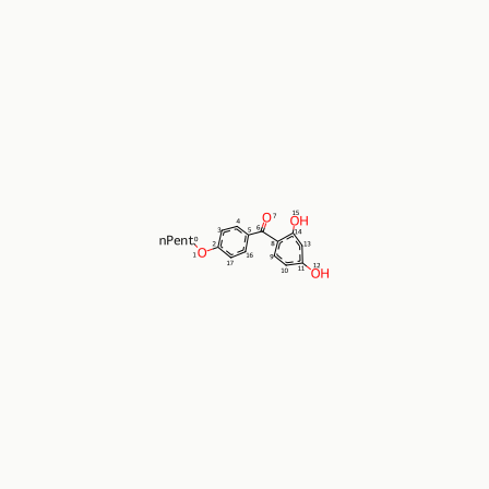 CCCCCOc1ccc(C(=O)c2ccc(O)cc2O)cc1